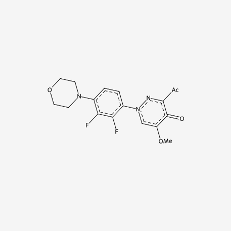 COc1cn(-c2ccc(N3CCOCC3)c(F)c2F)nc(C(C)=O)c1=O